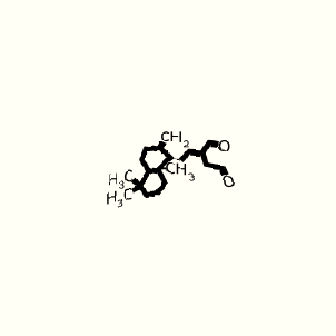 C=C1CCC2C(C)(C)CCC[C@]2(C)[C@H]1C/C=C(/C=O)CC=O